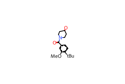 COc1cc(C(=O)N2CCC(=O)CC2)ccc1C(C)(C)C